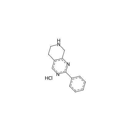 Cl.c1ccc(-c2ncc3c(n2)CNCC3)cc1